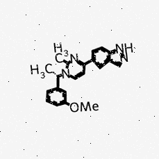 COc1cccc([C@H](C)N2C=CC(c3ccc4[nH]ncc4c3)=NC2C)c1